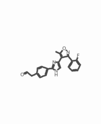 Cc1onc(-c2ccccc2F)c1-c1c[nH]c(-c2ccc(CC=O)cc2)n1